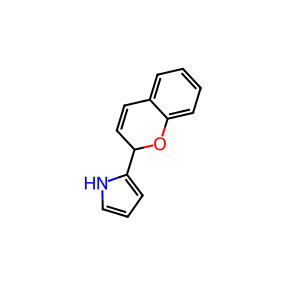 C1=CC(c2ccc[nH]2)Oc2ccccc21